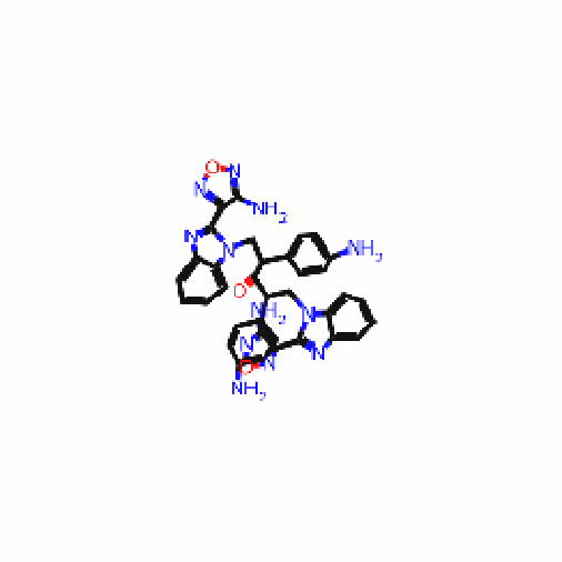 Nc1ccc(C(Cn2c(-c3nonc3N)nc3ccccc32)C(=O)C(Cn2c(-c3nonc3N)nc3ccccc32)c2ccc(N)cc2)cc1